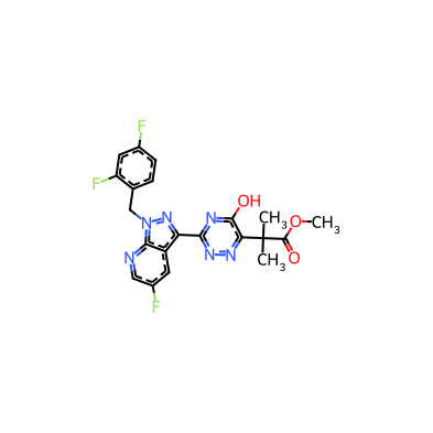 COC(=O)C(C)(C)c1nnc(-c2nn(Cc3ccc(F)cc3F)c3ncc(F)cc23)nc1O